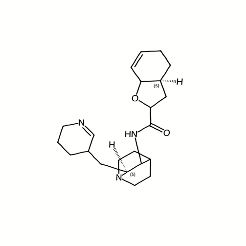 O=C(NC1C2CCN(CC2)[C@H]1CC1C=NCCC1)C1C[C@@H]2CCC=CC2O1